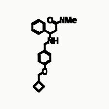 CNC(=O)CC(NCc1ccc(OCC2CCC2)cc1)c1ccccc1